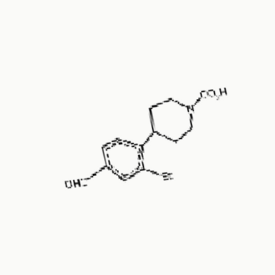 CCc1cc(C=O)ccc1C1CCN(C(=O)O)CC1